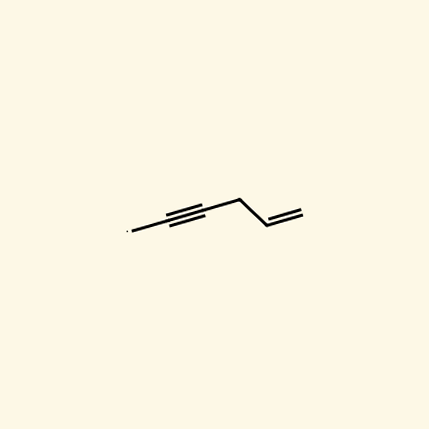 [CH2]C#CCC=C